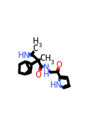 CC(=N)[C@](C)(C(=O)NCC(=O)c1ccc[nH]1)C1CC2CCC1C2